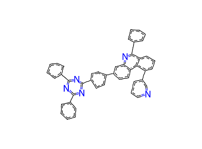 c1ccc(-c2nc(-c3ccccc3)nc(-c3ccc(-c4ccc5c(c4)nc(-c4ccccc4)c4cccc(-c6cccnc6)c45)cc3)n2)cc1